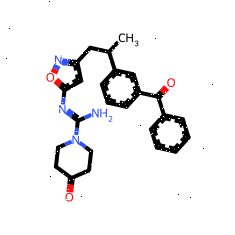 CC(Cc1cc(N=C(N)N2CCC(=O)CC2)on1)c1cccc(C(=O)c2ccccc2)c1